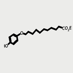 CCOC(=O)CCCCCCCCCCOc1ccc(O)cc1